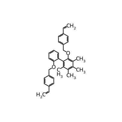 C=Cc1ccc(COc2ccccc2-c2c(C)c(C)c(C)c(C)c2OCc2ccc(C=C)cc2)cc1